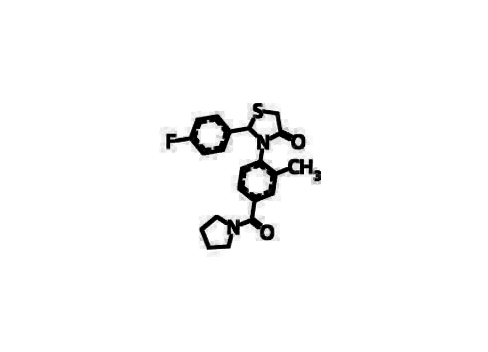 Cc1cc(C(=O)N2CCCC2)ccc1N1C(=O)CSC1c1ccc(F)cc1